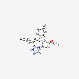 Cc1nnc2n1-c1ccc(OC(F)(F)F)cc1C(c1ccc(Cl)cc1)=CC2CC(=O)O